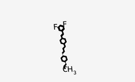 CCC[C@H]1CC[C@H](CCCCC2CCC(C=Cc3cc(F)cc(F)c3)CC2)CC1